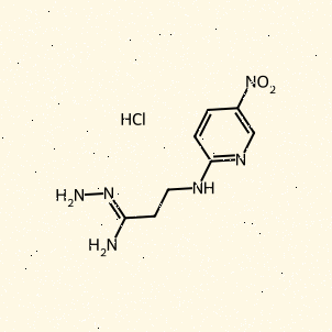 Cl.NN=C(N)CCNc1ccc([N+](=O)[O-])cn1